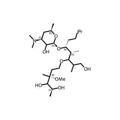 CO[C@](C)(CCOC(C(C)CO)[C@@H](C)[C@@H](CCC(C)C)O[C@@H]1O[C@H](C)C[C@H](N(C)C)C1O)C(O)[C@H](C)O